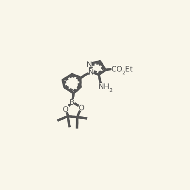 CCOC(=O)c1cnn(-c2cccc(B3OC(C)(C)C(C)(C)O3)c2)c1N